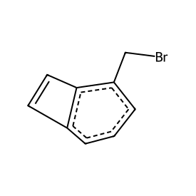 BrCc1cccc2c1C=C2